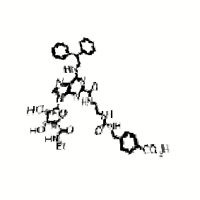 CCNC(=O)[C@H]1O[C@@H](n2cnc3c(NCC(c4ccccc4)c4ccccc4)nc(C(=O)NCCNC(=O)NCc4ccc(C(=O)O)cc4)nc32)[C@@H](O)[C@@H]1O